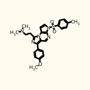 COc1ccc(-c2nc(CCN(C)C)n3c2cnc2c3ccn2S(=O)(=O)c2ccc(C)cc2)cc1